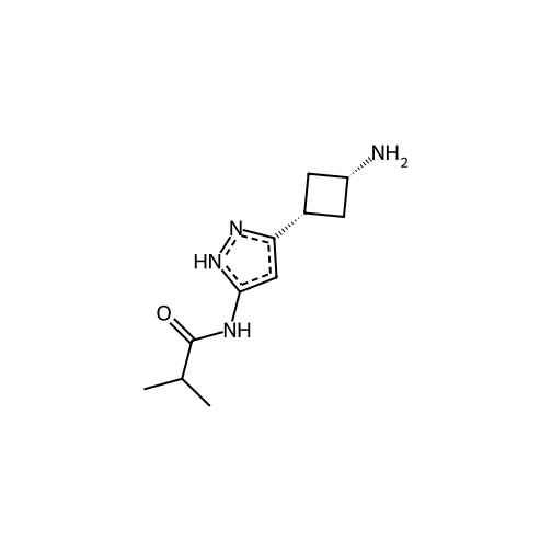 CC(C)C(=O)Nc1cc([C@H]2C[C@@H](N)C2)n[nH]1